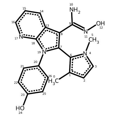 Cc1ccn(C)c1-c1c(/C(N)=N/O)c2cccnc2n1-c1ccc(O)cc1